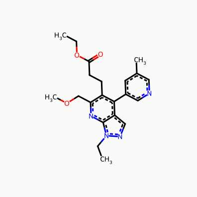 CCOC(=O)CCc1c(COC)nc2c(cnn2CC)c1-c1cncc(C)c1